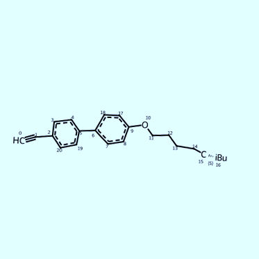 C#Cc1ccc(-c2ccc(OCCCCC[C@@H](C)CC)cc2)cc1